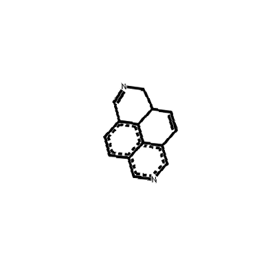 C1=CC2CN=Cc3ccc4cncc1c4c32